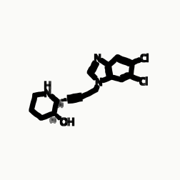 O[C@H]1CCCN[C@@H]1C#CCn1cnc2cc(Cl)c(Cl)cc21